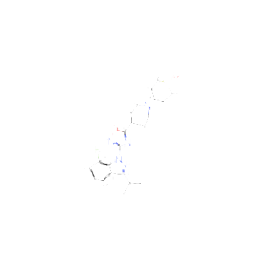 CC(C)c1nn(-c2noc(C3CCN(C4CC[S+]([O-])CC4)CC3)n2)c2c(F)cccc12